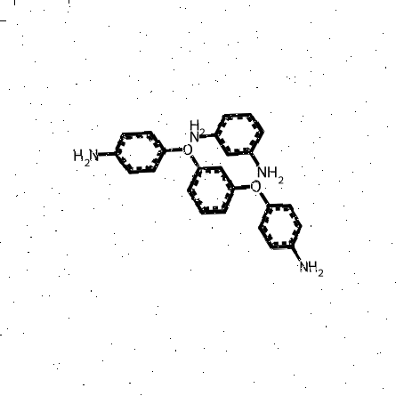 Nc1ccc(Oc2cccc(Oc3ccc(N)cc3)c2)cc1.Nc1cccc(N)c1